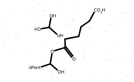 CCCC(O)O.CCCCCC(O)OC(=O)CCCCC(=O)O